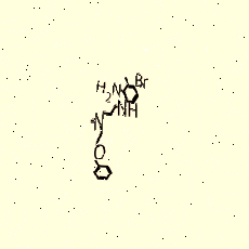 Cc1c(Br)ccc(NCCCN(C)CCOCc2ccccc2)c1N